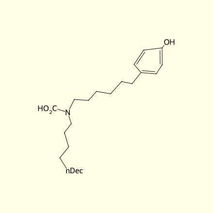 CCCCCCCCCCCCCCN(CCCCCCc1ccc(O)cc1)C(=O)O